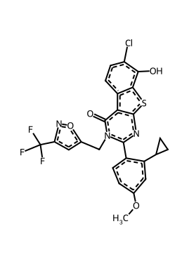 COc1ccc(-c2nc3sc4c(O)c(Cl)ccc4c3c(=O)n2Cc2cc(C(F)(F)F)no2)c(C2CC2)c1